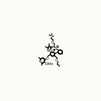 COc1c(OCc2ccc(-c3ccccc3S(=O)(=O)N(COCC[Si](C)(C)C)c3onc(C)c3C)c(COCCF)c2)cc(C)nc1C